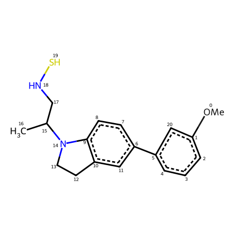 COc1cccc(-c2ccc3c(c2)CCN3C(C)CNS)c1